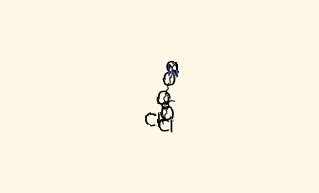 CCc1cc(OCC=C(Cl)Cl)cc(CC)c1OCCCCCOC/C=N/OC(C)(C)C